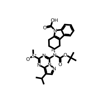 CC(C)c1cnn2c(N(C(=O)OC(C)(C)C)[C@@H]3CCc4c(c5ccccc5n4C(=O)O)C3)nc([S+](C)[O-])nc12